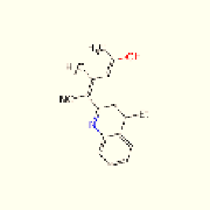 CCC1CC(/C(C#N)=C(C)\C=C(/C)O)=Nc2ccccc21